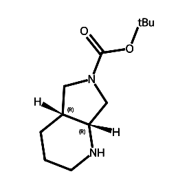 CC(C)(C)OC(=O)N1C[C@H]2CCCN[C@H]2C1